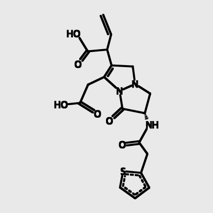 C=CC(C(=O)O)C1=C(CC(=O)O)N2C(=O)[C@@H](NC(=O)Cc3cccs3)CN2C1